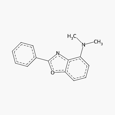 CN(C)c1cccc2oc(-c3ccccc3)nc12